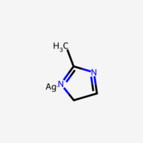 CC1=NCC=N1.[Ag]